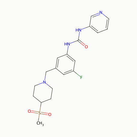 CS(=O)(=O)C1CCN(Cc2cc(F)cc(NC(=O)Nc3cccnc3)c2)CC1